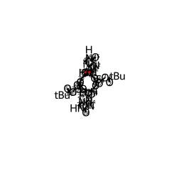 CC(C)(C)C(=O)OCSP1(=O)OC[C@H]2O[C@@H](n3cnc4c(=O)[nH]cnc43)[C@H](F)[C@@H]2OP(=O)(SCOC(=O)C(C)(C)C)OC[C@H]2O[C@@H](n3cnc4c(=O)[nH]cnc43)[C@H](O1)[C@H]2F